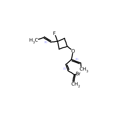 C=C(Br)/C=C\C(=C/C)OC1CC(F)(/C=C/C)C1